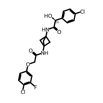 O=C(COc1ccc(Cl)c(F)c1)NC12CC(NC(=O)[C@@H](O)c3ccc(Cl)cc3)(C1)C2